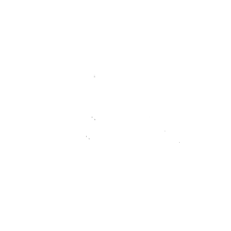 CCc1nn(CCO[Si](C)(C)C(C)(C)C)c(CBr)c1I